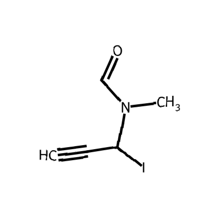 C#CC(I)N(C)C=O